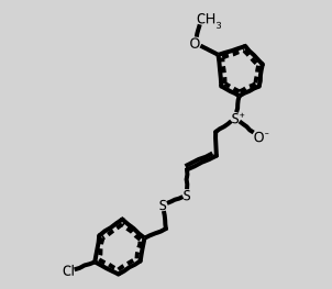 COc1cccc([S+]([O-])C/C=C/SSCc2ccc(Cl)cc2)c1